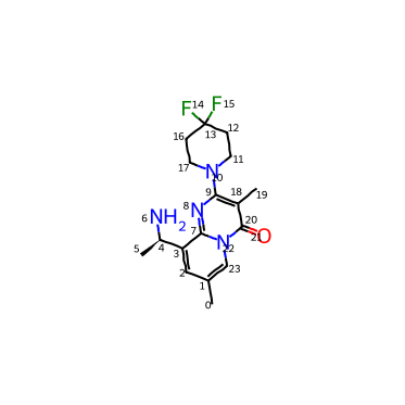 Cc1cc([C@@H](C)N)c2nc(N3CCC(F)(F)CC3)c(C)c(=O)n2c1